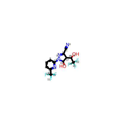 N#CC1=NN(c2cccc(C(F)(F)F)n2)C(O)C1C(O)C(F)(F)F